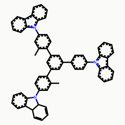 Cc1cc(N2c3ccccc3C3C=CC=CC32)ccc1-c1cc(-c2ccc(-n3c4ccccc4c4ccccc43)cc2)cc(-c2ccc(-n3c4ccccc4c4ccccc43)cc2C)c1